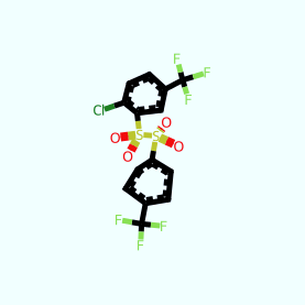 O=S(=O)(c1ccc(C(F)(F)F)cc1)S(=O)(=O)c1cc(C(F)(F)F)ccc1Cl